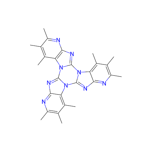 Cc1nc2nc3n(c2c(C)c1C)c1nc2nc(C)c(C)c(C)c2n1c1nc2nc(C)c(C)c(C)c2n31